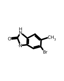 Cc1cc2c(cc1Br)[N]C(=O)N2